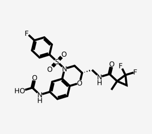 CC1(C(=O)NC[C@H]2CN(S(=O)(=O)c3ccc(F)cc3)c3cc(NC(=O)O)ccc3O2)CC1(F)F